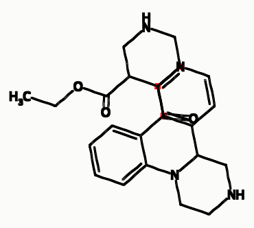 CCOC(=O)C1CNCCC1C(=O)c1ccccc1N1CCNCC1c1ccncc1